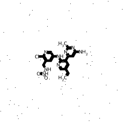 C=Cc1cnc(Nc2cnc(Cl)c(CN[SH](=O)=O)c2)c(-c2cc(N)nc(C)n2)c1